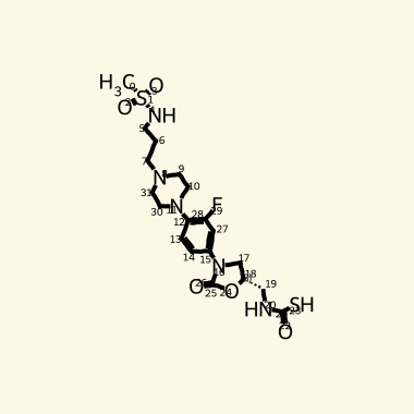 CS(=O)(=O)NCCCN1CCN(c2ccc(N3C[C@H](CNC(=O)S)OC3=O)cc2F)CC1